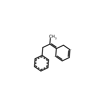 CC(Cc1ccccc1)=C1[C]=CC=[C]C1